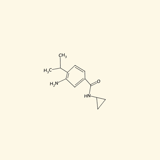 CC(C)c1ccc(C(=O)NC2CC2)cc1N